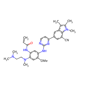 C=CC(=O)Nc1cc(Nc2nccc(-c3cc(C#N)c4c(c3)c(C)c(C)n4C)n2)c(OC)cc1N(C)CCN(C)C